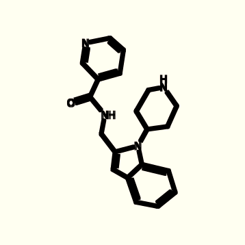 O=C(NCc1cc2ccccc2n1C1CCNCC1)c1cccnc1